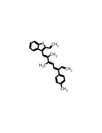 C=C\C(=C/C=C(C)/C(C)=C/c1c(C=C)sc2ccccc12)c1ccc(C)cc1